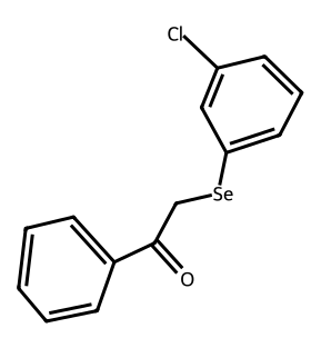 O=C(C[Se]c1cccc(Cl)c1)c1ccccc1